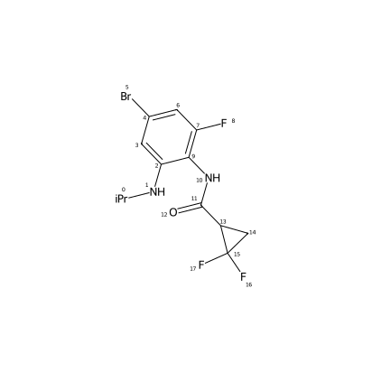 CC(C)Nc1cc(Br)cc(F)c1NC(=O)C1CC1(F)F